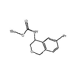 CC(C)c1ccc2c(c1)C(NC(=O)OC(C)(C)C)COC2